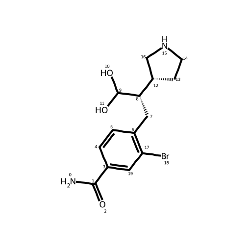 NC(=O)c1ccc(C[C@H](C(O)O)[C@H]2CCNC2)c(Br)c1